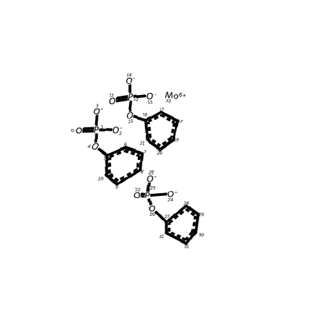 O=P([O-])([O-])Oc1ccccc1.O=P([O-])([O-])Oc1ccccc1.O=P([O-])([O-])Oc1ccccc1.[Mo+6]